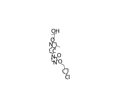 Cc1cc(OCC(C)(C)O)nc2ccc(-n3ccnc(OCCc4ccc(Cl)cc4)c3=O)cc12